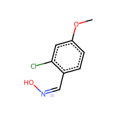 COc1ccc(/C=N\O)c(Cl)c1